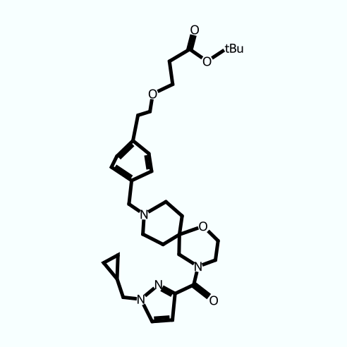 CC(C)(C)OC(=O)CCOCCc1ccc(CN2CCC3(CC2)CN(C(=O)c2ccn(CC4CC4)n2)CCO3)cc1